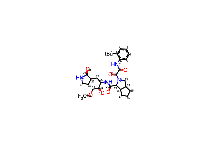 CC(C)(C)c1ccccc1NC(=O)C(=O)N1CC2CCCC2C1C(=O)NC(CC1CCNC1=O)C(=O)COC(F)(F)F